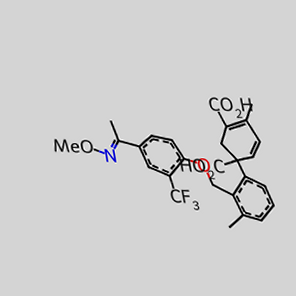 CON=C(C)c1ccc(OCc2c(C)cccc2C2(C(=O)O)C=CC(C)=C(C(=O)O)C2)c(C(F)(F)F)c1